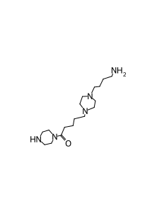 NCCCCN1CCN(CCCCC(=O)N2CCNCC2)CC1